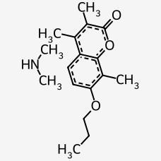 CCCOc1ccc2c(C)c(C)c(=O)oc2c1C.CNC